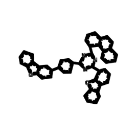 c1ccc2c(c1)ccc1cccc(-c3nc(-c4ccc(-c5ccc6oc7ccccc7c6c5)cc4)nc(-c4cccc5c4oc4ccccc45)n3)c12